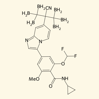 BC(B)(B)C(C#N)(c1ccn2c(-c3cc(OC)c(C(=O)NC4CC4)c(OC(F)F)c3)cnc2c1)C(B)(B)B